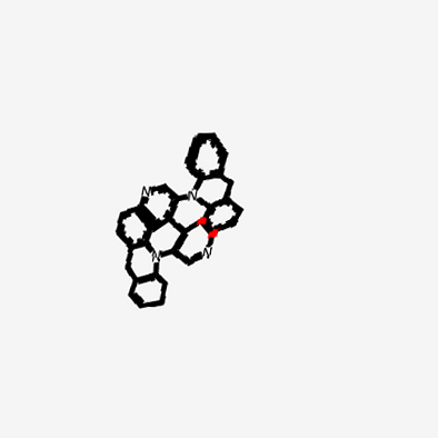 c1ccc2c(c#1)N(c1cnc#cc1C1=C(N3C4=C(C=CCC4)Cc4ccccc43)C=NCC1)c1ccccc1C2